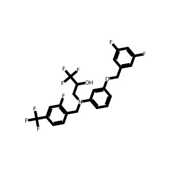 OC(CN(Cc1ccc(C(F)(F)F)cc1F)c1cccc(OCc2cc(F)cc(F)c2)c1)C(F)(F)F